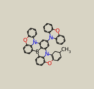 CC1C=CC2=C(C1)N1c3cc(N4c5ccccc5Oc5ccccc54)cc4c3B(c3cccc(c31)O2)c1cccc2c1N4c1ccccc1O2